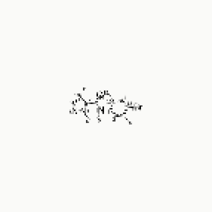 Cc1cc(N2CCn3ncc(C)c3C2=O)c(C)cc1Br